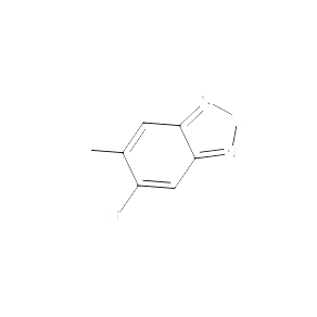 CCc1cc2nsnc2cc1Cl